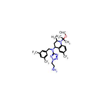 CC1CC(N(Cc2cc(C(F)(F)F)cc(C(F)(F)F)c2)c2nnn(CCN)n2)c2cc(C(F)(F)F)ccc2N1C(C)(C)OC=O